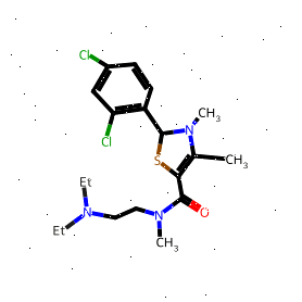 CCN(CC)CCN(C)C(=O)C1=C(C)N(C)C(c2ccc(Cl)cc2Cl)S1